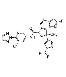 C[C@@]1(c2cnn(C(F)F)c2)C[C@@H](C(=O)Nc2cnc(-n3nccn3)c(Cl)c2)c2cnc3cc(F)nn3c21